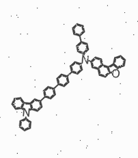 c1ccc(-c2ccc(N(c3ccc(-c4ccc(-c5ccc(-c6ccc7c(c6)c6ccccc6n7-c6ccccc6)cc5)cc4)cc3)c3ccc4c(ccc5oc6ccccc6c54)c3)cc2)cc1